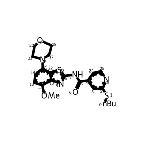 CCCCSc1cc(C(=O)Nc2nc3c(OC)ccc(N4CCOCC4)c3s2)ccn1